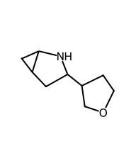 C1CC(C2CC3CC3N2)CO1